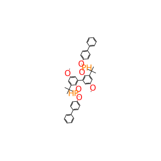 COc1cc(-c2cc(OC)cc(C(C)(C)C)c2OPOc2ccc(-c3ccccc3)cc2)c(OPOc2ccc(-c3ccccc3)cc2)c(C(C)(C)C)c1